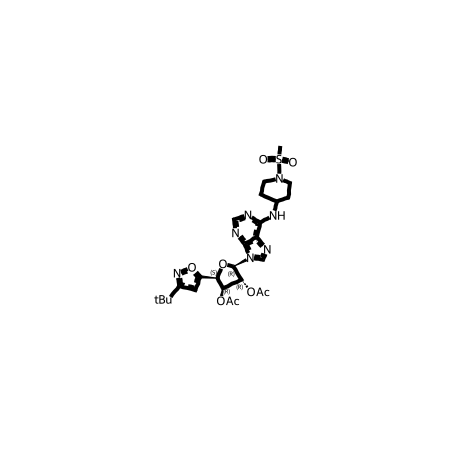 CC(=O)O[C@@H]1[C@@H](OC(C)=O)[C@H](n2cnc3c(NC4CCN(S(C)(=O)=O)CC4)ncnc32)O[C@@H]1c1cc(C(C)(C)C)no1